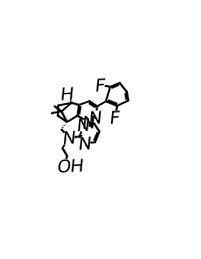 CC1(C)[C@H]2CC[C@]1(CN(CCO)c1ncccn1)c1nnc(-c3c(F)cccc3F)cc12